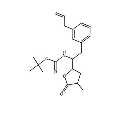 C=CCc1cccc(CC(NC(=O)OC(C)(C)C)C2CC(C)C(=O)O2)c1